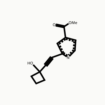 COC(=O)c1ccnc(C#CC2(O)CCC2)c1